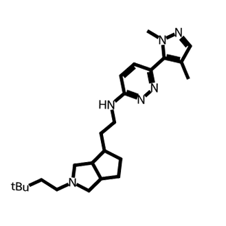 Cc1cnn(C)c1-c1ccc(NCCC2CCC3CN(CCC(C)(C)C)CC23)nn1